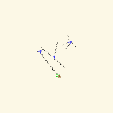 CCCCCCCCCCCCCC[N+](C)(C)C.CCCCCCCCN(CCCCCCCC)CCCCCCCC.CCCC[N+](CCCC)(CCCC)CCCC.[Br-].[Cl-]